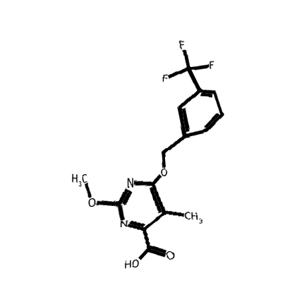 COc1nc(OCc2cccc(C(F)(F)F)c2)c(C)c(C(=O)O)n1